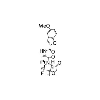 COc1ccc2oc(C(=O)N[C@@H](CC(C)C)C(=O)N3C[C@H](F)[C@H]4OCC(=O)[C@H]43)cc2c1